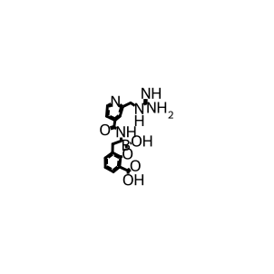 N=C(N)NCc1cc(C(=O)NC2Cc3cccc(C(=O)O)c3OB2O)ccn1